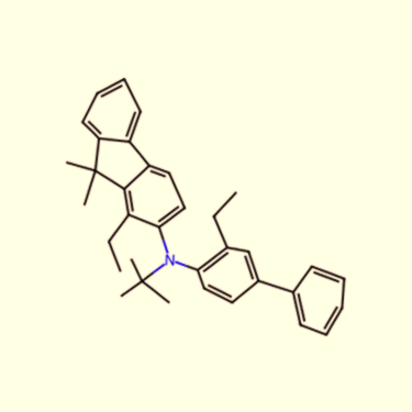 CCc1cc(-c2ccccc2)ccc1N(c1ccc2c(c1CC)C(C)(C)c1ccccc1-2)C(C)(C)C